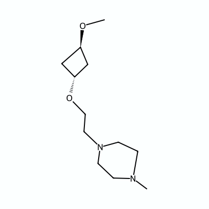 CO[C@H]1C[C@H](OCCN2CCN(C)CC2)C1